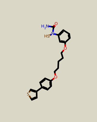 NC(=O)N(S)c1cccc(OCCCCCOc2ccc(-c3ccsc3)cc2)c1